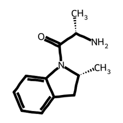 C[C@H](N)C(=O)N1c2ccccc2C[C@H]1C